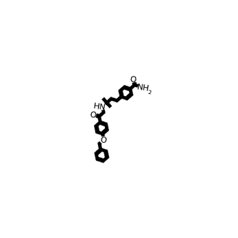 CC(C)(CCc1ccc(C(N)=O)cc1)NCC(=O)c1ccc(OCc2ccccc2)cc1